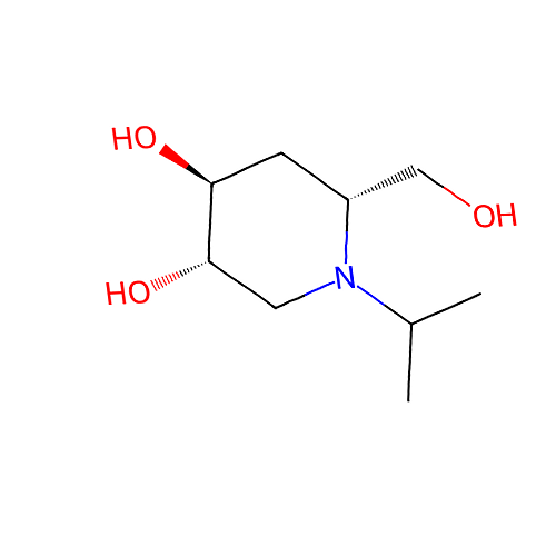 CC(C)N1C[C@H](O)[C@@H](O)C[C@@H]1CO